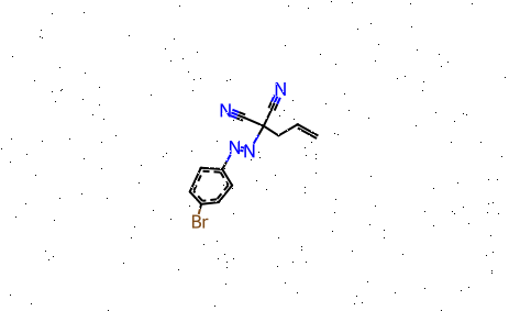 C=CCC(C#N)(C#N)/N=N/c1ccc(Br)cc1